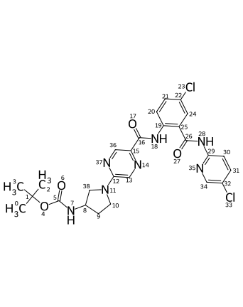 CC(C)(C)OC(=O)NC1CCN(c2cnc(C(=O)Nc3ccc(Cl)cc3C(=O)Nc3ccc(Cl)cn3)cn2)C1